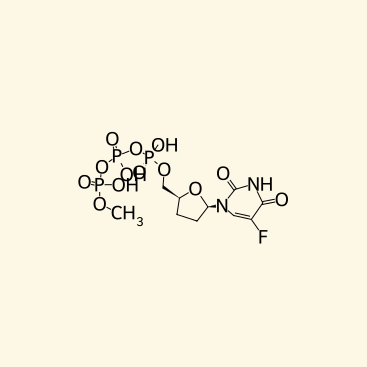 COP(=O)(O)OP(=O)(O)OP(=O)(O)OC[C@@H]1CC[C@H](n2cc(F)c(=O)[nH]c2=O)O1